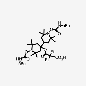 CCCCNC(=O)ON1C(C)(C)CC(C2(OC(=O)C(CC)(CC)C(=O)O)CC(C)(C)N(OC(=O)NCCCC)C(C)(C)C2)CC1(C)C